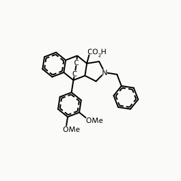 COc1ccc(C23CCC(c4ccccc42)C2(C(=O)O)CN(Cc4ccccc4)CC32)cc1OC